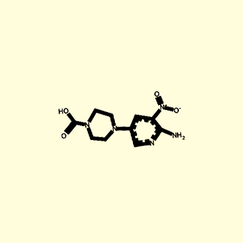 Nc1ncc(N2CCN(C(=O)O)CC2)cc1[N+](=O)[O-]